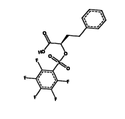 O=C(O)[C@@H](CCc1ccccc1)OS(=O)(=O)c1c(F)c(F)c(F)c(F)c1F